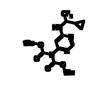 CC(C)(C)OC(=O)N(C(=O)OC(C)(C)C)c1cc(NC(C2CC2)C(F)(F)F)ncn1